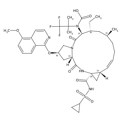 CC[C@@H]1C[C@@H](C)CCC=C[C@@H]2C[C@@]2(C(=O)NS(=O)(=O)C2CC2)NC(=O)[C@@H]2C[C@@H](Oc3nccc4c(OC)cccc34)CN2C(=O)[C@H]1N(C(=O)O)C(C)(C)C(F)(F)F